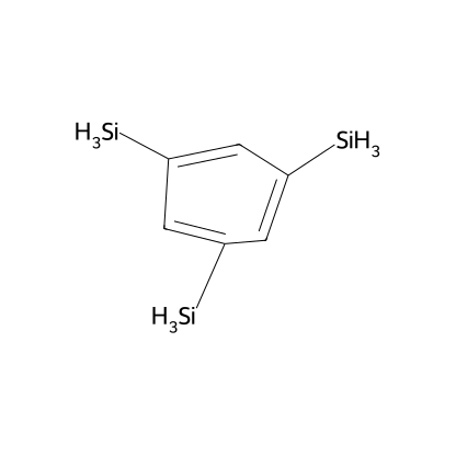 [SiH3]c1cc([SiH3])cc([SiH3])c1